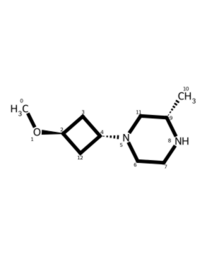 CO[C@H]1C[C@H](N2CCN[C@@H](C)C2)C1